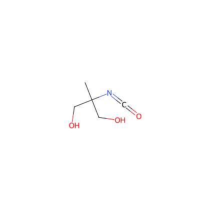 CC(CO)(CO)N=C=O